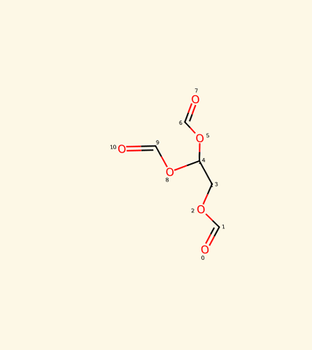 O=CO[CH][C](OC=O)OC=O